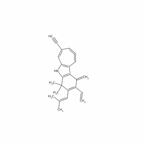 C#CC1=Cc2[nH]c3c(c2C=C=C1)C(=C)C(C=C)=C(C=C(C)C)C3(C)C